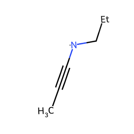 CC#C[N]CCC